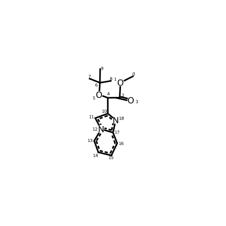 COC(=O)C(OC(C)(C)C)c1cn2ccccc2n1